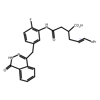 CCC/C=C/CC(CC(=O)Nc1cc(Cc2n[nH]c(=O)c3ccccc23)ccc1F)C(=O)O